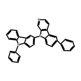 c1ccc(-c2ccc3c(c2)c2ccncc2n3-c2ccc3c(c2)c2ccccc2n3-c2ccccc2)cc1